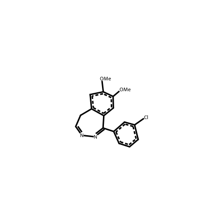 COc1cc2c(cc1OC)C(c1cccc(Cl)c1)=NN=CC2